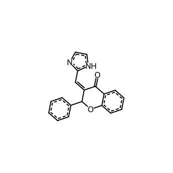 O=C1C(=Cc2ncc[nH]2)C(c2ccccc2)Oc2ccccc21